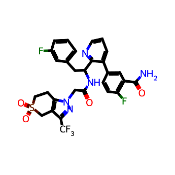 NC(=O)c1cc(-c2cccnc2C(Cc2cccc(F)c2)NC(=O)Cn2nc(C(F)(F)F)c3c2CCS(=O)(=O)C3)ccc1F